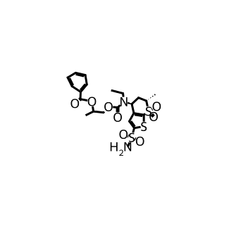 CCN(C(=O)OCC(C)OC(=O)c1ccccc1)[C@H]1C[C@H](C)S(=O)(=O)c2sc(S(N)(=O)=O)cc21